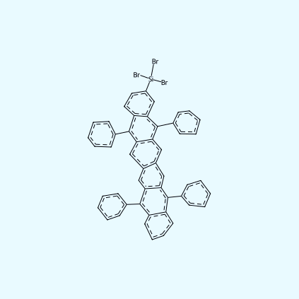 Br[Si](Br)(Br)c1ccc2c(-c3ccccc3)c3cc4cc5c(-c6ccccc6)c6ccccc6c(-c6ccccc6)c5cc4cc3c(-c3ccccc3)c2c1